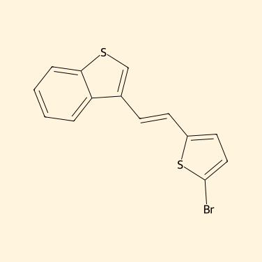 Brc1ccc(C=Cc2csc3ccccc23)s1